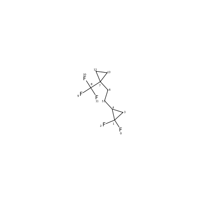 FC1(F)CC1[CH]CC1(C(F)(F)F)CC1